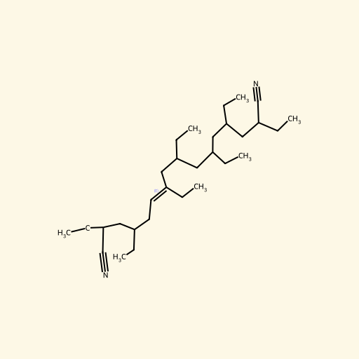 CC/C(=C\CC(CC)CC(C#N)CC)CC(CC)CC(CC)CC(CC)CC(C#N)CC